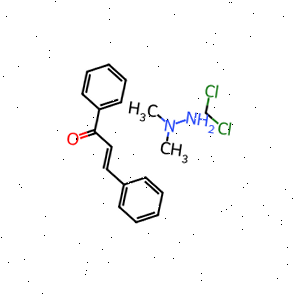 CN(C)N.ClCCl.O=C(C=Cc1ccccc1)c1ccccc1